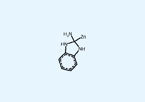 N[C]1([Zn])Nc2ccccc2N1